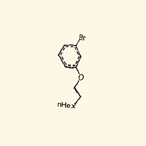 CCCCCCCCOc1cccc(Br)c1